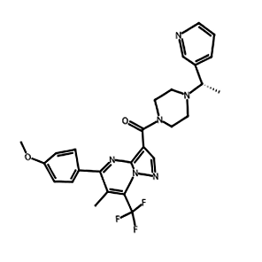 COc1ccc(-c2nc3c(C(=O)N4CCN([C@@H](C)c5cccnc5)CC4)cnn3c(C(F)(F)F)c2C)cc1